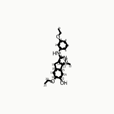 CCOc1cccc(Nc2nn(C)c3c2Cc2cc(OCC)c(O)cc2-3)c1